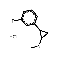 CNC1CC1c1cccc(F)c1.Cl